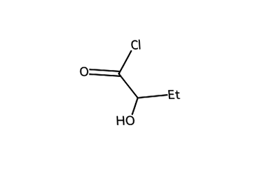 CCC(O)C(=O)Cl